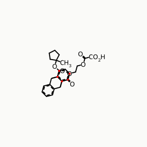 CC1(OC(=O)C2C3c4ccccc4C(c4ccccc43)C2C(=O)OCCOC(=O)C(=O)O)CCCC1